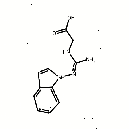 NC(=N[SH]1C=Cc2ccccc21)NCC(=O)O